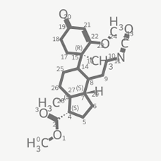 COC(=O)[C@H]1CC[C@H]2C(CCN=C=O)C([C@@]3(C)CCC(=O)C=C3OC)CC[C@]12C